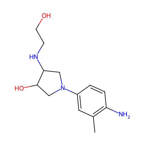 Cc1cc(N2CC(O)C(NCCO)C2)ccc1N